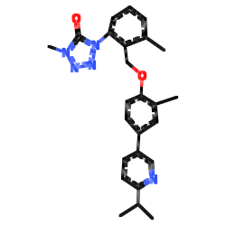 Cc1cc(-c2ccc(C(C)C)nc2)ccc1OCc1c(C)cccc1-n1nnn(C)c1=O